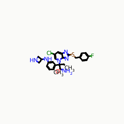 CCC(C(N)=O)(c1cc(NC2CNC2)ccc1C)n1cc(Cl)cc2nc(SCc3ccc(F)cc3)nc1-2